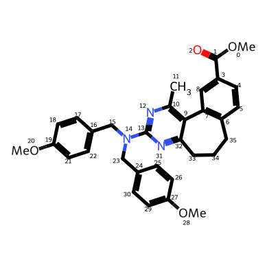 COC(=O)c1ccc2c(c1)-c1c(C)nc(N(Cc3ccc(OC)cc3)Cc3ccc(OC)cc3)nc1CCC2